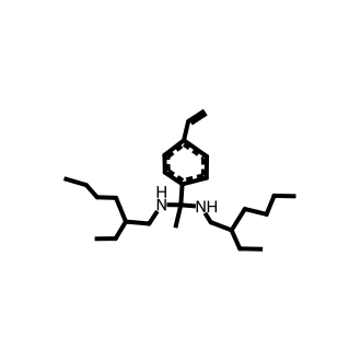 C=Cc1ccc(C(C)(NCC(CC)CCCC)NCC(CC)CCCC)cc1